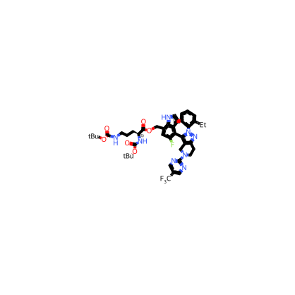 CCc1cccc(CC)c1-n1nc2c(c1-c1c(F)cc(COC(=O)[C@H](CCCNC(=O)OC(C)(C)C)NC(=O)OC(C)(C)C)c3[nH]ccc13)CN(c1ncc(C(F)(F)F)cn1)CC2